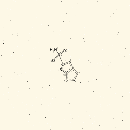 NS(=O)(=O)c1cc2ccsc2s1